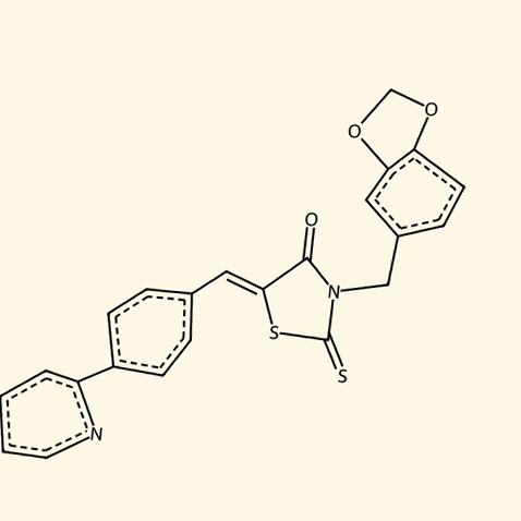 O=C1/C(=C/c2ccc(-c3ccccn3)cc2)SC(=S)N1Cc1ccc2c(c1)OCO2